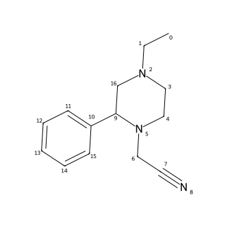 CCN1CCN(CC#N)C(c2ccccc2)C1